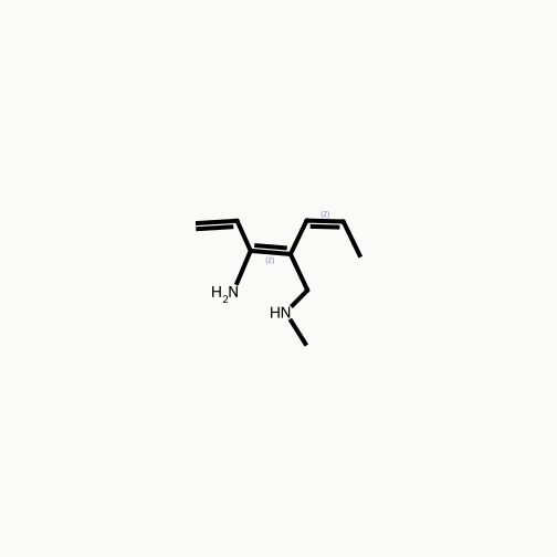 C=C/C(N)=C(\C=C/C)CNC